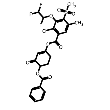 Cc1cc(C(=O)OC2=CC(=O)C(OC(=O)c3ccccc3)CC2)c(Cl)c(OC(F)C(F)F)c1S(C)(=O)=O